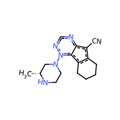 C[C@@H]1CN(n2ncnc3c(C#N)c4c(c2-3)CCCC4)CCN1